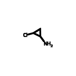 NC1CC1Cl